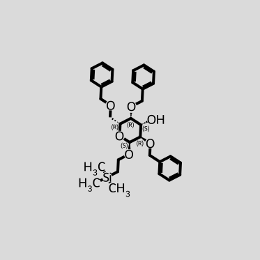 C[Si](C)(C)CCO[C@H]1O[C@H](COCc2ccccc2)[C@H](OCc2ccccc2)[C@H](O)[C@H]1OCc1ccccc1